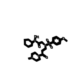 COc1ccc(S(=O)(=O)N(CCC(=O)N2CCN(C)CC2)CC(=O)N(O)C2CCCCC2)cc1